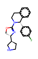 Fc1ccc([C@H]2c3ccccc3CCN2C2=N[C@H]([C@H]3CCNC3)CO2)cc1